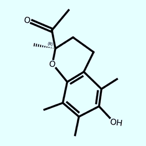 CC(=O)[C@@]1(C)CCc2c(C)c(O)c(C)c(C)c2O1